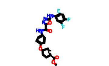 COC(=O)[C@H]1CC[C@H](Oc2ccc(NC(=O)c3nnc(Nc4cc(F)c(F)cc4F)o3)cc2)CC1